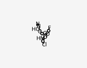 O=C(Oc1ccc(F)cc1)N1CCc2c([nH]c3ccc(Cl)cc23)C1c1ccc(OCC(O)Cn2ccnc2)cc1